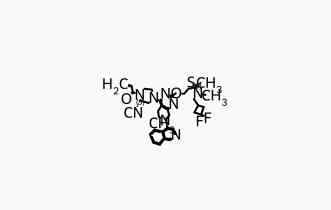 C=CC(=O)N1CCN(c2nc(OCC3S[C@]3(C)N(C)CC3CC(F)(F)C3)nc3c2CCN(c2cncc4cccc(C)c24)C3)C[C@@H]1CC#N